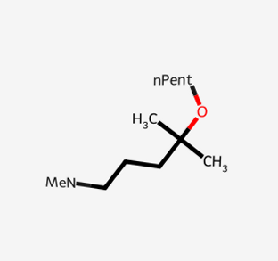 CCCCCOC(C)(C)CCCNC